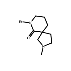 CCN1CCCC2(CCN(C)C2)C1=O